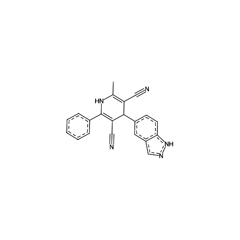 CC1=C(C#N)C(c2ccc3[nH]ncc3c2)C(C#N)=C(c2ccccc2)N1